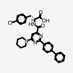 O=C(N[C@H](Cc1ccc(Cl)cc1)C(=O)O)c1cc(N2CCCCC2)nc(-c2ccc(-c3ccccc3)cc2)n1